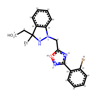 CCC1(CC(=O)O)NN(Cc2nc(-c3ccccc3Br)no2)c2ccccc21